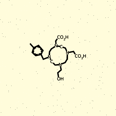 Cc1ccc(CN2CCN(CCO)CCN(CC(=O)O)CCN(CC(=O)O)CC2)cc1